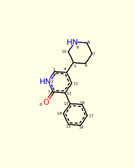 O=c1[nH]cc(C2CCCNC2)cc1-c1ccccc1